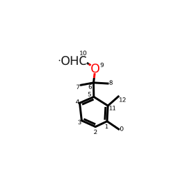 Cc1cccc(C(C)(C)O[C]=O)c1C